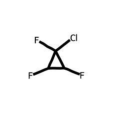 FC1C(F)C1(F)Cl